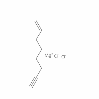 C#CCCCCC=C.[Cl-].[Cl-].[Mg+2]